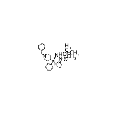 CC(C)(C)OC(=O)N[C@H]1CCC[C@@H]1[C@](C#N)(c1ccccc1)C1CCN(Cc2ccccc2)CC1